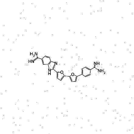 N=C(N)c1ccc(-c2ccc(-c3ccc(-c4nc5ccc(C(=N)N)cc5[nH]4)o3)o2)cc1